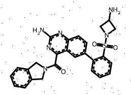 Nc1nc(C(=O)N2Cc3ccccc3C2)c2cc(-c3ccccc3S(=O)(=O)N3CC(N)C3)ccc2n1